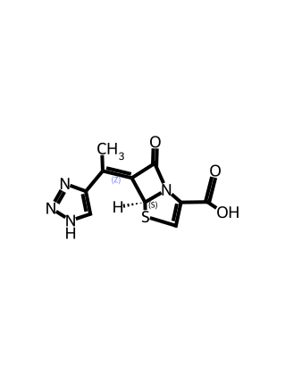 C/C(=C1\C(=O)N2C(C(=O)O)=CS[C@@H]12)c1c[nH]nn1